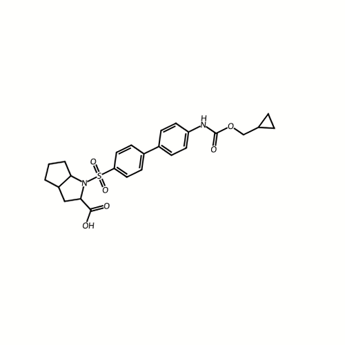 O=C(Nc1ccc(-c2ccc(S(=O)(=O)N3C(C(=O)O)CC4CCCC43)cc2)cc1)OCC1CC1